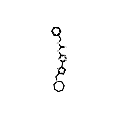 O=C(NCc1ccccc1)Nc1nnc(-c2ccc(CN3CCCCCC3)s2)o1